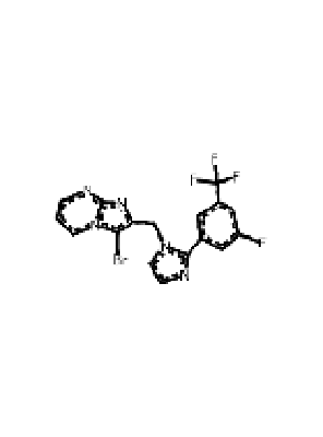 Fc1cc(-c2nccn2Cc2nc3ncccn3c2Br)cc(C(F)(F)F)c1